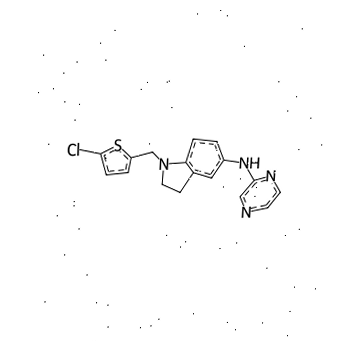 Clc1ccc(CN2CCc3cc(Nc4cnccn4)ccc32)s1